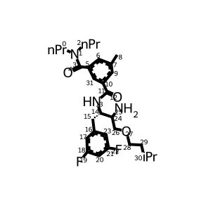 CCCN(CCC)C(=O)c1cc(C)cc(C(=O)N[C@@H](Cc2cc(F)cc(F)c2)C(N)COCCC(C)C)c1